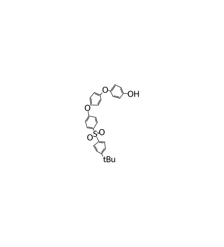 CC(C)(C)c1ccc(S(=O)(=O)c2ccc(Oc3ccc(Oc4ccc(O)cc4)cc3)cc2)cc1